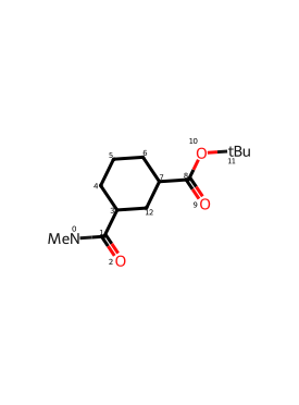 CNC(=O)C1CCCC(C(=O)OC(C)(C)C)C1